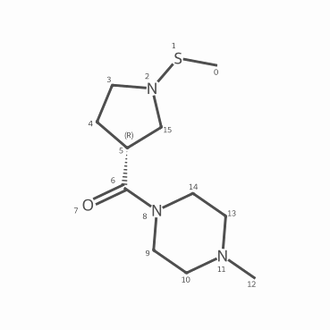 CSN1CC[C@@H](C(=O)N2CCN(C)CC2)C1